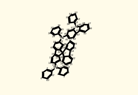 c1ccc(N(c2ccccc2)c2ccc3c(c2)C2(c4ccccc4-c4ccccc42)c2cc(N(c4ccccc4)c4ccc5c6ccccc6n(-c6ccccc6)c5c4)ccc2-3)cc1